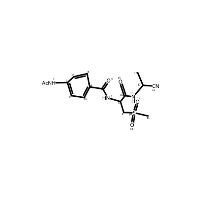 CC(=O)Nc1ccc(C(=O)NC(CS(C)(=O)=O)C(=O)NC(C)C#N)cc1